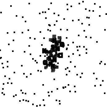 CC(=O)N(c1nc2c(Cl)c3nc(N(C(C)=O)N(C)C)sc3c(C#N)c2s1)N(C)C